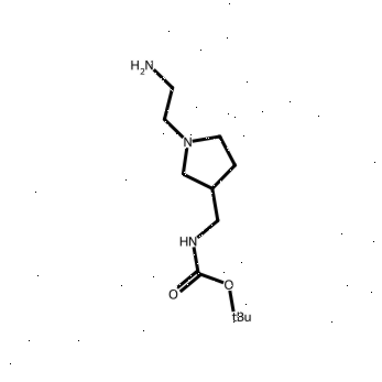 CC(C)(C)OC(=O)NCC1CCN(CCN)C1